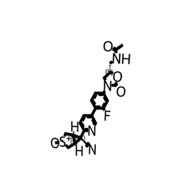 CC(=O)NC[C@H]1CN(c2ccc(-c3ccc([C@@]4(C#N)[C@@H]5C[S+]([O-])C[C@@H]54)nc3)c(F)c2)C(=O)O1